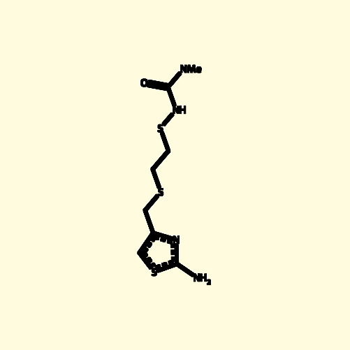 CNC(=O)NSCCSCc1csc(N)n1